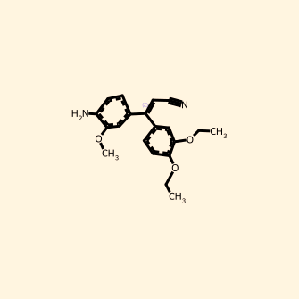 CCOc1ccc(/C(=C\C#N)c2ccc(N)c(OC)c2)cc1OCC